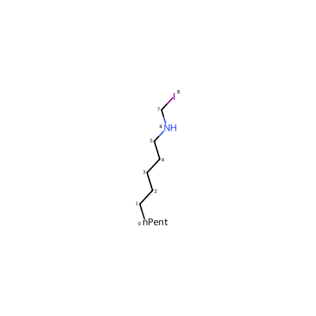 CCCCCCCCCCNCI